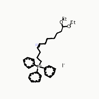 CCOC(CCCCC/C=C\CCC[P+](c1ccccc1)(c1ccccc1)c1ccccc1)OCC.[I-]